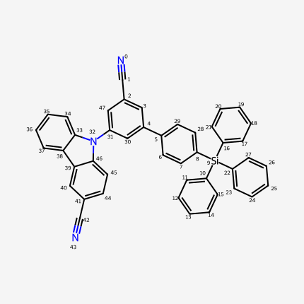 N#Cc1cc(-c2ccc([Si](c3ccccc3)(c3ccccc3)c3ccccc3)cc2)cc(-n2c3ccccc3c3cc(C#N)ccc32)c1